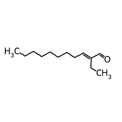 CCCCCCCC/C=C(/C=O)CC